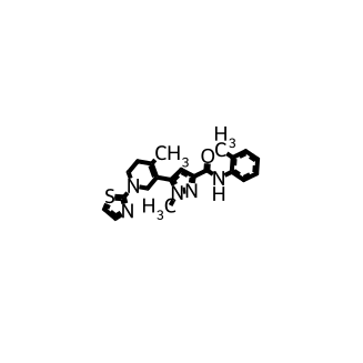 CC1=C(c2cc(C(=O)Nc3ccccc3C)nn2C)CN(c2nccs2)CC1